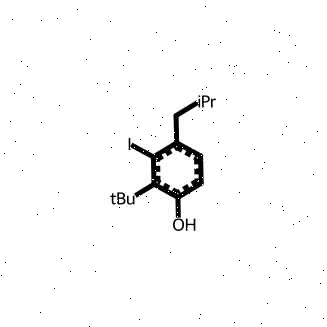 CC(C)Cc1ccc(O)c(C(C)(C)C)c1I